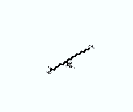 CCCCCCCCCC=CC(CCCCCCC(=O)O)S(C)(=O)=O